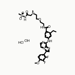 CCc1cc(Nc2nccn3c(-c4ccc(OC)c(F)c4F)cnc23)ccc1C(=O)NCCOCCN(C)CC(=O)NS(C)(=O)=O.Cl.Cl